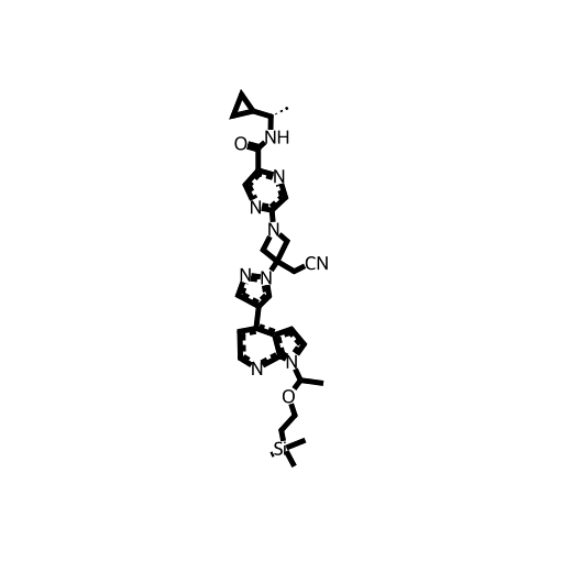 CC(OCC[Si](C)(C)C)n1ccc2c(-c3cnn(C4(CC#N)CN(c5cnc(C(=O)N[C@@H](C)C6CC6)cn5)C4)c3)ccnc21